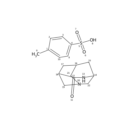 Cc1ccc(S(=O)(=O)O)cc1.O=C1NC2CC3CC1CN(C3)C2